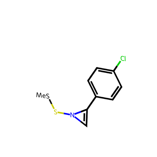 CSSN1C=C1c1ccc(Cl)cc1